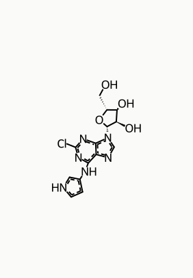 OC[C@H]1O[C@@H](n2cnc3c(Nc4cc[nH]c4)nc(Cl)nc32)[C@H](O)[C@@H]1O